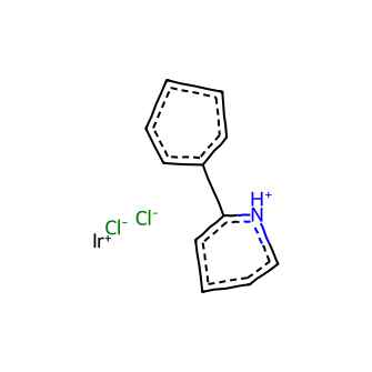 [Cl-].[Cl-].[Ir+].c1ccc(-c2cccc[nH+]2)cc1